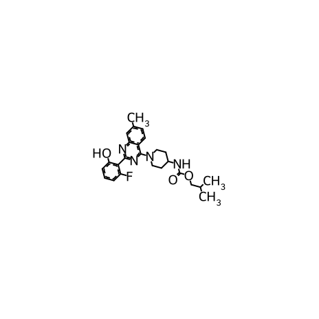 Cc1ccc2c(N3CCC(NC(=O)OCC(C)C)CC3)nc(-c3c(O)cccc3F)nc2c1